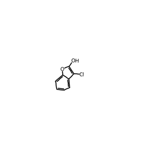 Oc1oc2ccccc2c1Cl